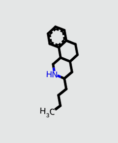 CCCCC1CC2CCc3ccccc3C2CN1